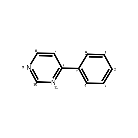 [c]1ccccc1-c1ccncn1